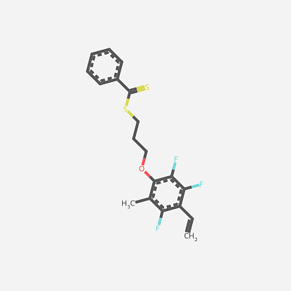 C=Cc1c(F)c(C)c(OCCCSC(=S)c2ccccc2)c(F)c1F